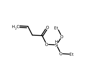 C=CCC(=O)O[SiH](OCC)OCC